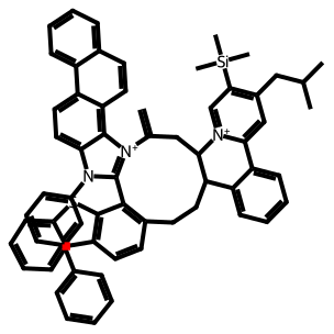 C=C1CC2C(CCc3ccc4c(sc5ccccc54)c3-c3n(-c4cccc(-c5ccccc5)c4)c4ccc5c6ccccc6ccc5c4[n+]31)c1ccccc1-c1cc(CC(C)C)c([Si](C)(C)C)c[n+]12